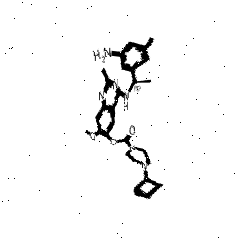 COc1cc2nc(C)nc(N[C@H](C)c3cc(C)cc(N)c3)c2cc1OC(=O)N1CCN(C2CCC2)CC1